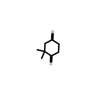 CC1(C)CC(=O)CCC1=O